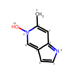 Cc1cc2nccc-2cn1O